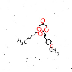 CCCCCCOC1(C=Cc2ccc(OC)cc2)OCC(=O)CO1